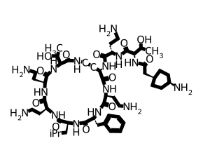 CC(C)C[C@@H]1NC(=O)[C@@H](Cc2ccccc2)NC(=O)[C@H](CCN)NC(=O)[C@@H](NC(=O)[C@H](CCN)NC(=O)[C@@H](NC(=O)C[C@H]2CC[C@@H](N)CC2)C(C)O)CCNC(=O)C(C(C)O)NC(=O)[C@H](CCN)NC(=O)[C@H](CCN)NC1=O